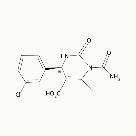 CC1=C(C(=O)O)[C@@H](c2cccc(Cl)c2)NC(=O)N1C(N)=O